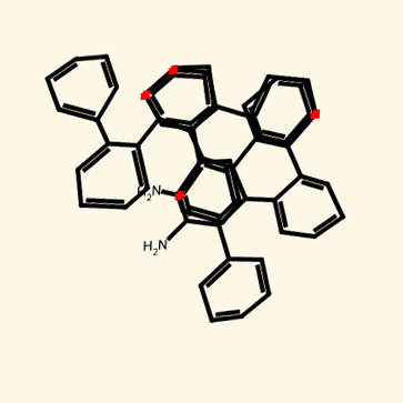 Nc1c(N)c(-c2ccccc2-c2ccccc2-c2ccccc2)c(-c2ccccc2-c2ccccc2-c2ccccc2)c(-c2ccccc2-c2ccccc2)c1-c1ccccc1